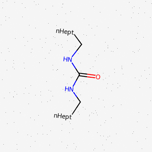 CCCCCCCCNC(=O)NCCCCCCCC